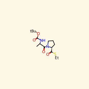 CCSC(=O)[C@@H]1CCCN1C(=O)C(C)NC(=O)OC(C)(C)C